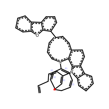 C=CC/C=C\C(=C/C)n1c2ccccc2c2ccc3ccc(-c4cccc5c4oc4ccccc45)cccn(C4=C/C=C\CC/C=C\4)c3c21